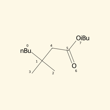 CCCCC(C)(C)CC(=O)OCC(C)C